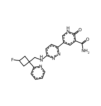 NC(=O)c1cc(-c2ccc(NCC3(c4ccccn4)CC(F)C3)nn2)c[nH]c1=O